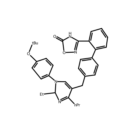 CCCC1=NC(CC)N(c2ccc(OC(C)(C)C)cc2)C=C1Cc1ccc(-c2ccccc2-c2noc(=O)[nH]2)cc1